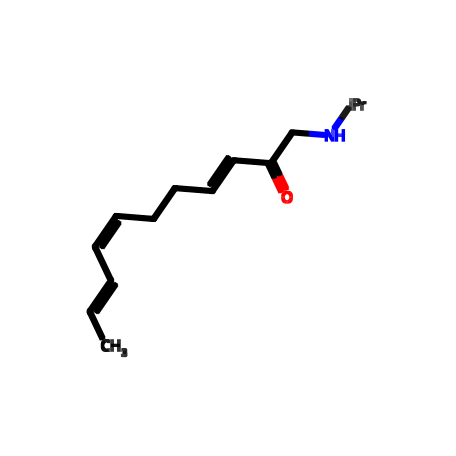 C/C=C/C=C\CC/C=C/C(=O)CNC(C)C